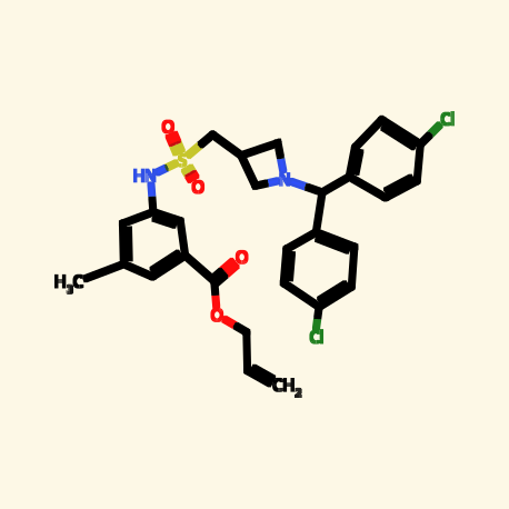 C=CCOC(=O)c1cc(C)cc(NS(=O)(=O)CC2CN(C(c3ccc(Cl)cc3)c3ccc(Cl)cc3)C2)c1